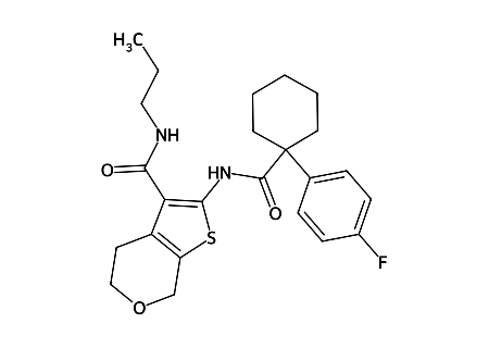 CCCNC(=O)c1c(NC(=O)C2(c3ccc(F)cc3)CCCCC2)sc2c1CCOC2